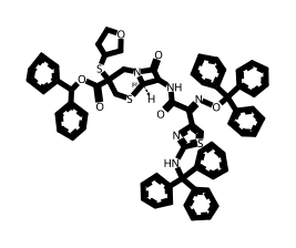 O=C(NC1C(=O)N2CC(SC3CCOC3)(C(=O)OC(c3ccccc3)c3ccccc3)CS[C@H]12)C(=NOC(c1ccccc1)(c1ccccc1)c1ccccc1)c1csc(NC(c2ccccc2)(c2ccccc2)c2ccccc2)n1